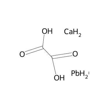 O=C(O)C(=O)O.[CaH2].[PbH2]